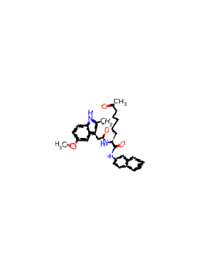 COc1ccc2[nH]c(C)c(CC(=O)N[C@@H](CCCCCC(C)=O)C(=O)Nc3ccc4ccccc4c3)c2c1